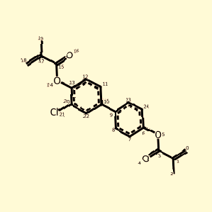 C=C(C)C(=O)Oc1ccc(-c2ccc(OC(=O)C(=C)C)c(Cl)c2)cc1